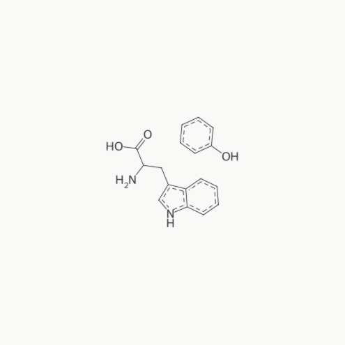 NC(Cc1c[nH]c2ccccc12)C(=O)O.Oc1ccccc1